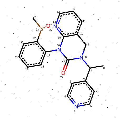 CC(c1ccncc1)N1Cc2cccnc2N(c2ccccc2[S+](C)[O-])C1=O